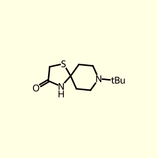 CC(C)(C)N1CCC2(CC1)NC(=O)CS2